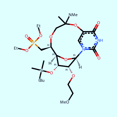 CCOP(=O)(C[C@H]1OCC(C)(NC)Oc2cn(c(=O)[nH]c2=O)[C@@H]2O[C@H]1[C@@H](O[Si](C)(C)C(C)(C)C)[C@H]2OCCOC)OCC